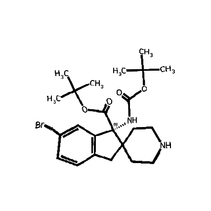 CC(C)(C)OC(=O)N[C@@]1(C(=O)OC(C)(C)C)c2cc(Br)ccc2CC12CCNCC2